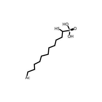 CC(=O)CCCCCCCCCCC(S)P(=O)(O)O